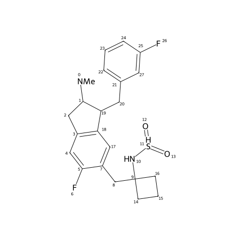 CNC1Cc2cc(F)c(CC3(N[SH](=O)=O)CCC3)cc2C1Cc1cccc(F)c1